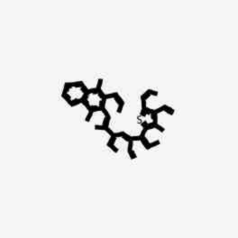 C=CC(=C\C(=C/C)C(\C)=C\c1c(/C=C\C)c(C)c2ccccc2c1C)/C(=C/C)c1sc(/C=C\C)c(C=C)c1C